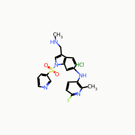 CNCc1cn(S(=O)(=O)c2cccnc2)c2cc(Nc3ccc(F)nc3C)ccc12.Cl